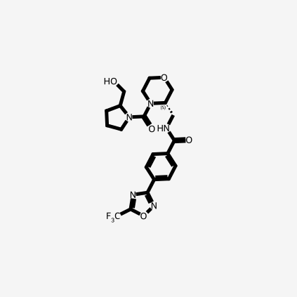 O=C(NC[C@H]1COCCN1C(=O)N1CCCC1CO)c1ccc(-c2noc(C(F)(F)F)n2)cc1